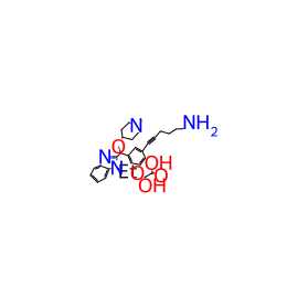 CCn1c(C(OC2CCN(C)CC2)c2cccc(C#CCCCCN)c2)nc2ccccc21.O=C(O)C(=O)O